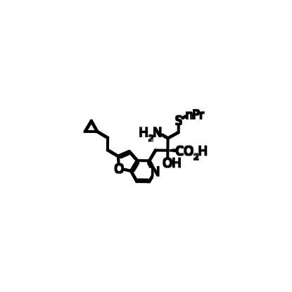 CCCSCC(N)[C@](O)(Cc1nccc2oc(CCC3CC3)cc12)C(=O)O